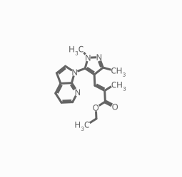 CCOC(=O)/C(C)=C/c1c(C)nn(C)c1-n1ccc2cccnc21